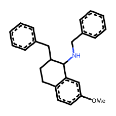 COc1ccc2c(c1)C(NCc1ccccc1)C(Cc1ccccc1)CC2